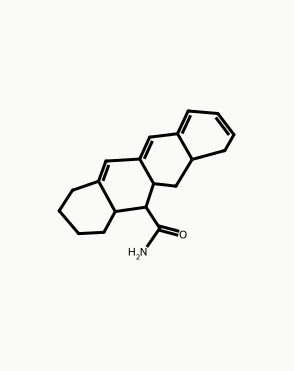 NC(=O)C1C2CC3CC=CC=C3C=C2C=C2CCCCC21